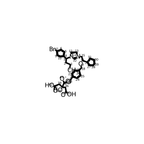 CCCC(c1ccc(Br)cc1)[n+]1ccn(CC(OCc2ccc(Cl)cc2)c2ccccc2)c1.O=C(O)CC(O)(CC(=O)O)C(=O)[O-]